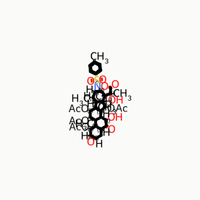 CC(=O)O[C@H]1[C@@H]2[C@H]([C@H](C)[C@H]3N(S(=O)(=O)c4ccc(C)cc4)[C@]34OC(=O)[C@@](C)(O)[C@]24C)[C@]2(C)[C@@H]1C1C([C@H](OC(C)=O)[C@@H]2OC(C)=O)[C@]2(C)[C@H](C[C@@H]3O[C@@H]3[C@@H]2OC(C)=O)C(=O)[C@@H]1O